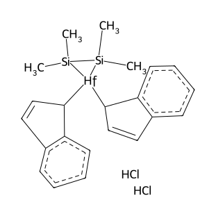 C[Si]1(C)[Si](C)(C)[Hf]1([CH]1C=Cc2ccccc21)[CH]1C=Cc2ccccc21.Cl.Cl